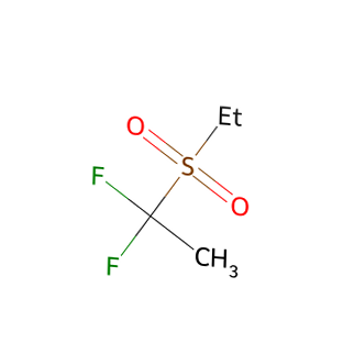 CCS(=O)(=O)C(C)(F)F